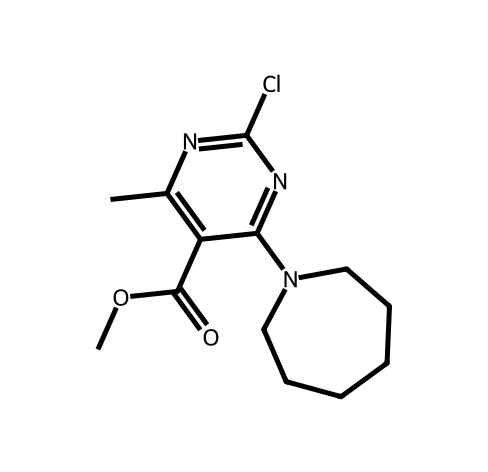 COC(=O)c1c(C)nc(Cl)nc1N1CCCCCC1